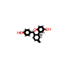 C=C1CCC2C(c3ccc(O)cc3)Oc3ccc(O)cc3[C@H]2C1